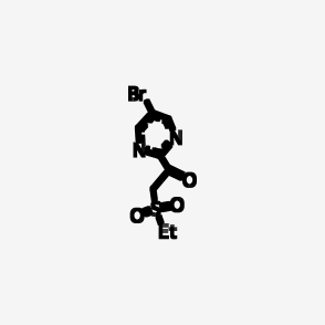 CCS(=O)(=O)CC(=O)c1ncc(Br)cn1